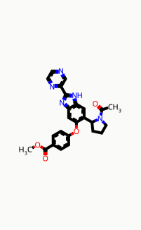 COC(=O)c1ccc(Oc2cc3nc(-c4cnccn4)[nH]c3cc2C2CCCN2C(C)=O)cc1